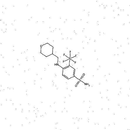 NS(=O)(=O)c1ccc(NCC2CCOCC2)c(S(F)(F)(F)(F)F)c1